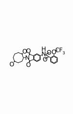 O=C1CCCC(=O)C(N2C(=O)c3ccc(NS(=O)(=O)c4ccccc4OC(F)(F)F)cc3C2=O)CC1